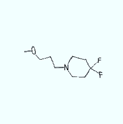 COCCCN1CCC(F)(F)CC1